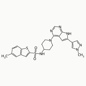 Cc1ccc2sc(S(=O)(=O)NC3CCN(c4ncnc5[nH]c(-c6cnn(C)c6)cc45)CC3)cc2c1